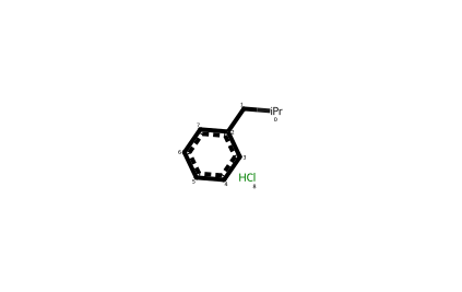 CC(C)Cc1ccccc1.Cl